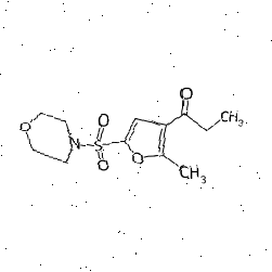 CCC(=O)c1cc(S(=O)(=O)N2CCOCC2)oc1C